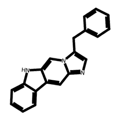 c1ccc(Cc2cnc3cc4c(cn23)[nH]c2ccccc24)cc1